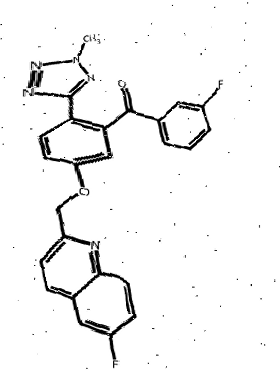 Cn1nnc(-c2ccc(OCc3ccc4cc(F)ccc4n3)cc2C(=O)c2cccc(F)c2)n1